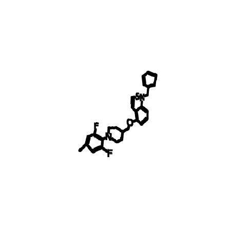 Cc1cc(F)c(N2CCC(COc3cccc4c3C=CSN4Cc3ccccc3)CC2)c(F)c1